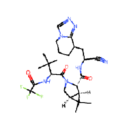 CC(C)(C)[C@H](NC(=O)C(F)(F)F)C(=O)N1C[C@H]2[C@@H]([C@H]1C(=O)NC(C#N)CC1CCCn3cnnc31)C2(C)C